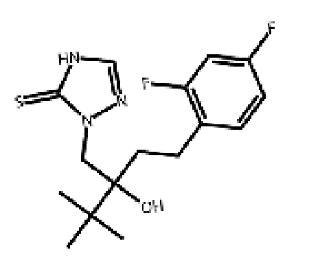 CC(C)(C)C(O)(CCc1ccc(F)cc1F)Cn1nc[nH]c1=S